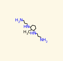 CC1C(NCCCN)CCCC1NCCCN